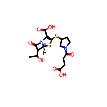 CC(O)C1C(=O)N2C(C(=O)O)=C(SC3CCN(C(=O)CCC(=O)O)C3)S[C@H]12